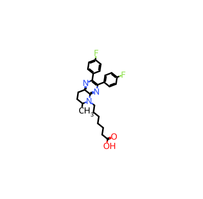 CC1CCc2nc(-c3ccc(F)cc3)c(-c3ccc(F)cc3)nc2N1CCCCCCC(=O)O